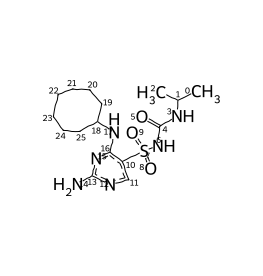 CC(C)NC(=O)NS(=O)(=O)c1cnc(N)nc1NC1CCCCCCC1